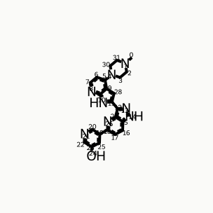 CN1CCN(c2ccnc3[nH]c(-c4n[nH]c5ccc(-c6cncc(O)c6)nc45)cc23)CC1